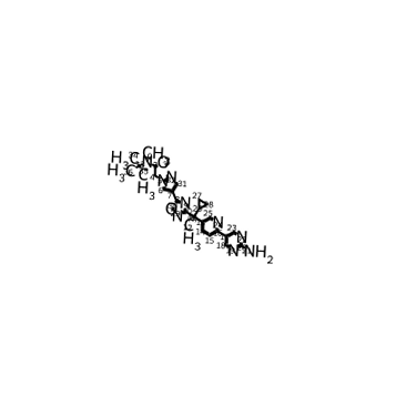 CN(C(=O)Cn1cc(-c2nc([C@@](C)(c3ccc(-c4cnc(N)nc4)nc3)C3CC3)no2)cn1)C(C)(C)C